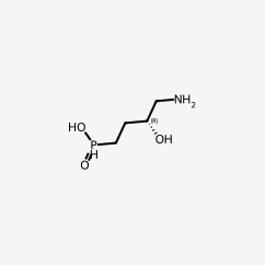 NC[C@H](O)CC[PH](=O)O